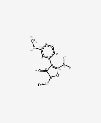 CCOC1OC(N(C)C)=C(c2cccc(OC(F)(F)F)c2)C1=O